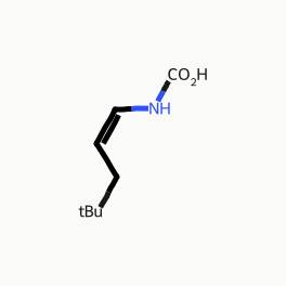 CC(C)(C)C/C=C\NC(=O)O